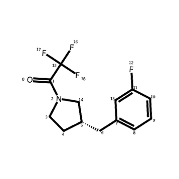 O=C(N1CC[C@@H](Cc2cccc(F)c2)C1)C(F)(F)F